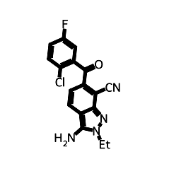 CCn1nc2c(C#N)c(C(=O)c3cc(F)ccc3Cl)ccc2c1N